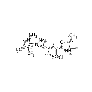 C/N=C/C1(NC(=O)c2cc(-c3cn(-c4c(C(F)(F)F)c(C)nn4C)nn3)ccc2Cl)CC1